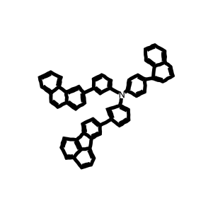 c1cc(-c2ccc3c(c2)-c2cccc4cccc-3c24)cc(N(c2ccc(-c3cccc4ccccc34)cc2)c2cccc(-c3ccc4ccc5ccccc5c4c3)c2)c1